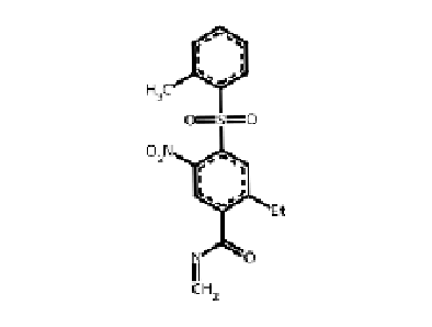 C=NC(=O)c1cc([N+](=O)[O-])c(S(=O)(=O)c2ccccc2C)cc1CC